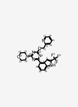 FC(F)(F)c1cc2c(-c3nc(OCc4ccccn4)nc(N4CCOCC4)n3)cccc2[nH]1